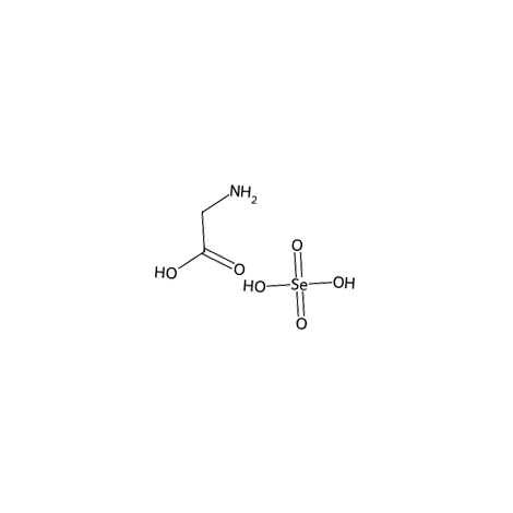 NCC(=O)O.O=[Se](=O)(O)O